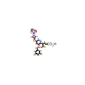 Cc1sc(C(=O)O)cc1-c1ncc(OC2CN(C(=O)OC(C)(C)C)C2)cc1OCc1cc(F)cc(F)c1